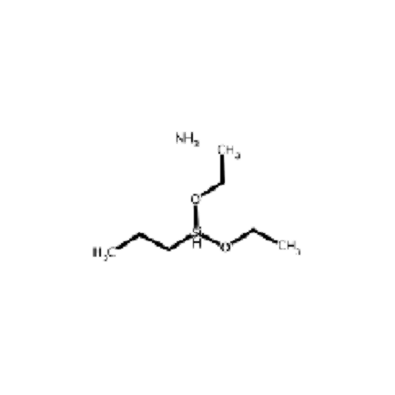 CCC[SiH](OCC)OCC.N